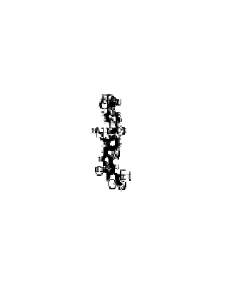 CCC1C(=O)OCc2c1cc1n(c2=O)Cc2cc3c(CN(C)C)c(OC(=O)N4CCN(C(=O)OC(C)(C)C)CC4)ccc3nc2-1